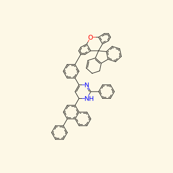 C1=CC2=C(CC1)c1ccccc1C21c2ccccc2Oc2ccc(-c3cccc(C4=CC(c5ccc(-c6ccccc6)c6ccccc56)NC(c5ccccc5)=N4)c3)cc21